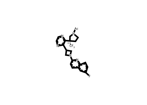 CC(=O)N1CC[C@](c2nccnc2C2CN(c3ccc4cc(F)ccc4n3)C2)(C(F)(F)F)C1